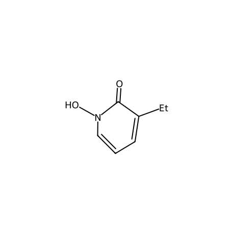 CCc1cccn(O)c1=O